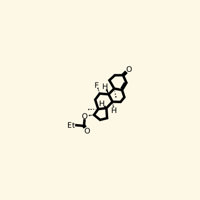 CCC(=O)O[C@H]1CC[C@H]2[C@@H]3CCC4=CC(=O)CC[C@]4(C)[C@H]3[C@@H](F)C[C@]12C